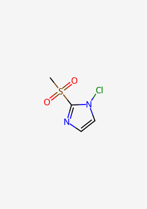 CS(=O)(=O)c1nccn1Cl